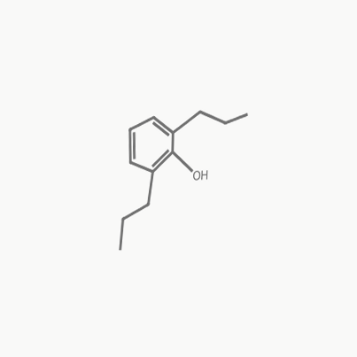 CCCc1cccc(CCC)c1O